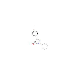 COc1ccc([C@@H]2CN([C@H]3CC[C@@H](C)CC3)C[C@@]2(F)C(=O)O)cc1